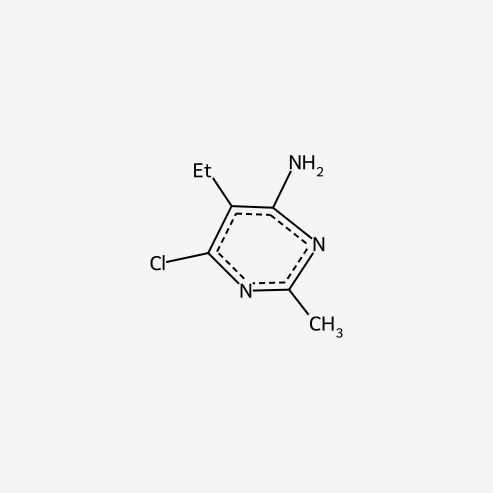 CCc1c(N)nc(C)nc1Cl